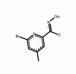 Cc1cc(Br)nc(/C(Cl)=N/O)c1